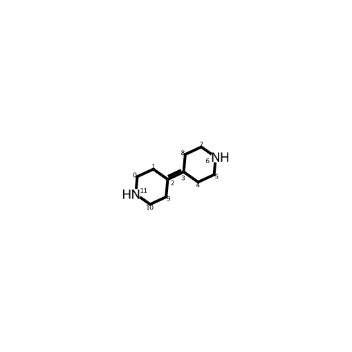 C1CC(=C2CCNCC2)CCN1